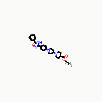 CCOC(=O)C1CCN(C2CCN(c3ccc(C4=NOC(c5ccccc5)N4)cc3)CC2)CC1